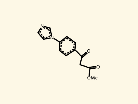 COC(=O)CC(=O)c1ccc(-n2ccnc2)cc1